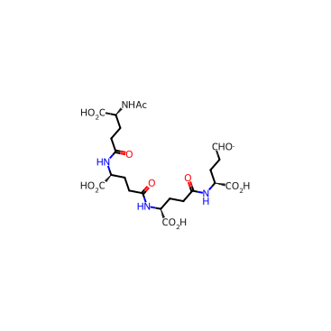 CC(=O)N[C@@H](CCC(=O)N[C@@H](CCC(=O)N[C@@H](CCC(=O)N[C@@H](CC[C]=O)C(=O)O)C(=O)O)C(=O)O)C(=O)O